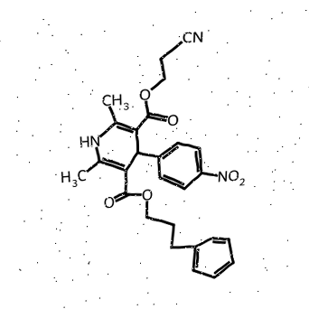 CC1=C(C(=O)OCCC#N)C(c2ccc([N+](=O)[O-])cc2)C(C(=O)OCCCc2ccccc2)=C(C)N1